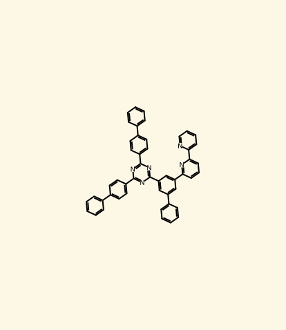 c1ccc(-c2ccc(-c3nc(-c4ccc(-c5ccccc5)cc4)nc(-c4cc(-c5ccccc5)cc(-c5cccc(-c6ccccn6)n5)c4)n3)cc2)cc1